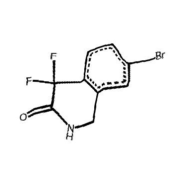 O=C1NCc2cc(Br)ccc2C1(F)F